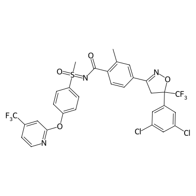 Cc1cc(C2=NOC(c3cc(Cl)cc(Cl)c3)(C(F)(F)F)C2)ccc1C(=O)N=S(C)(=O)c1ccc(Oc2cc(C(F)(F)F)ccn2)cc1